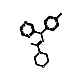 C/C(=N\C(c1ccc(C)cc1)c1cnccn1)N1CCOCC1